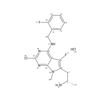 C[C@H](N)Cc1c(F)c2c(NCc3ccccc3F)nc(Cl)nc2n1C.Cl